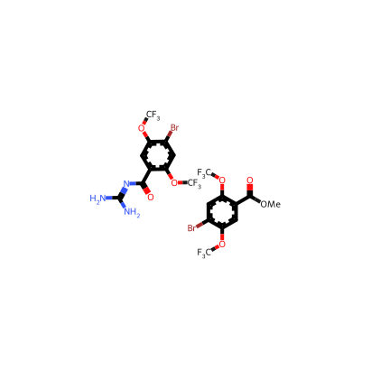 COC(=O)c1cc(OC(F)(F)F)c(Br)cc1OC(F)(F)F.NC(N)=NC(=O)c1cc(OC(F)(F)F)c(Br)cc1OC(F)(F)F